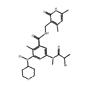 CCN(c1cc(N(C)C(=O)C(C)Br)cc(C(=O)NCc2c(C)cc(C)[nH]c2=O)c1C)C1CCOCC1